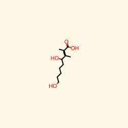 CC(C(=O)O)=C(C)C(O)CCCCCO